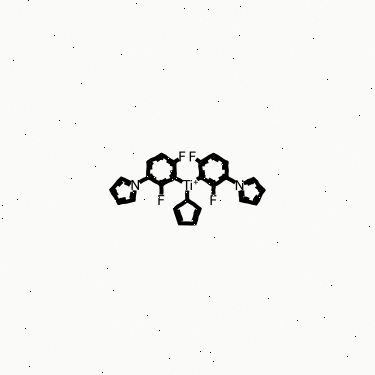 Fc1ccc(-n2cccc2)c(F)[c]1[Ti+]([c]1c(F)ccc(-n2cccc2)c1F)[CH]1C=CC=C1